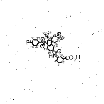 O=C(O)c1cccc(NC(=O)c2ccc3c(c2)C2(CCS(=O)(=O)CC2)C(C2CC2)N3S(=O)(=O)c2ccc(F)cc2)c1